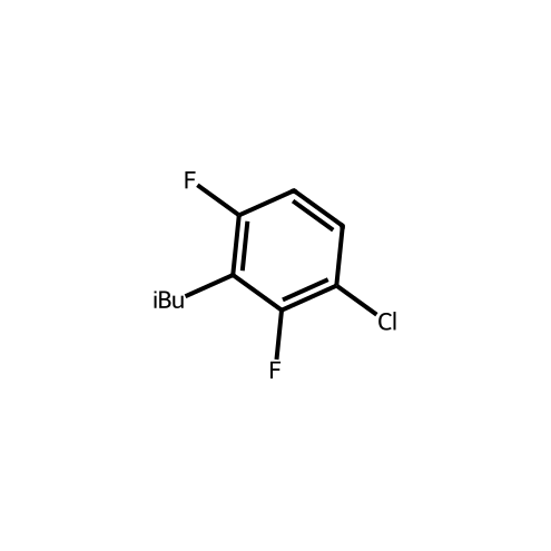 CCC(C)c1c(F)ccc(Cl)c1F